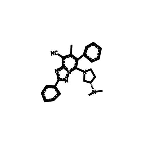 Cc1c(-c2ccccc2)c(N2CC[C@H](N(C)C)C2)n2nc(-c3ccccc3)nc2c1C#N